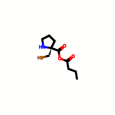 CCCC(=O)OC(=O)[C@]1(CS)CCCN1